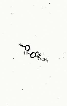 COB1OCc2cc(Nc3cccc(C#N)c3)ccc21